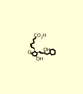 O=C(O)CCC/C=C\C[C@@H]1C(=O)C[C@@H](O)[C@@H]1/C=C/[C@@H](O)CC1CCCCC1